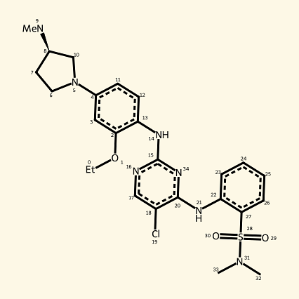 CCOc1cc(N2CC[C@@H](NC)C2)ccc1Nc1ncc(Cl)c(Nc2ccccc2S(=O)(=O)N(C)C)n1